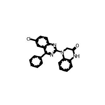 O=C1CN(c2nc(-c3ccccc3)c3cc(Cl)ccc3n2)c2ccccc2N1